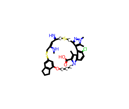 CN/C1=C\C(=N)CSCc2nn(C)c(C)c2-c2c(Cl)ccc3c2c(C)c(C(=O)O)n3CCCOc2cc(cc3c2CCC3)SC1